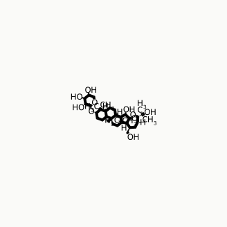 CC(C)(O)[C@H]1O[C@@]23O[C@@H]1C[C@@H](CO)[C@@H]2[C@@]1(C)CC[C@@]24C[C@@]25CC[C@H](O[C@@H]2OC[C@H](O)[C@H](O)[C@H]2O)C(C)(C)[C@@H]5CC[C@H]4[C@]1(C)[C@H]3O